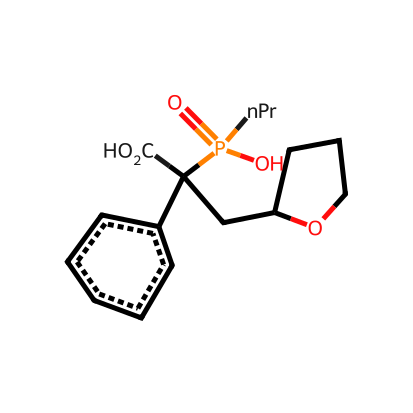 CCCP(=O)(O)C(CC1CCCO1)(C(=O)O)c1ccccc1